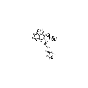 CCCCOc1cc2c(C)ccnc2cc1OCCCN1CCOCC1